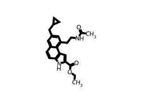 CCOC(=O)c1cc2c(ccc3cc(CC4CC4)cc(CCNC(C)=O)c32)[nH]1